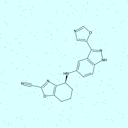 N#Cc1nc2c(o1)CCC[C@@H]2Nc1ccc2[nH]nc(-c3cnco3)c2c1